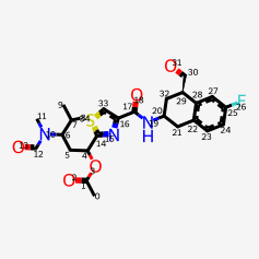 CC(=O)OC(CC(C(C)C)N(C)C=O)c1nc(C(=O)NC2Cc3ccc(F)cc3[C@H](C=O)C2)cs1